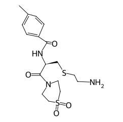 Cc1ccc(C(=O)N[C@@H](CSCCN)C(=O)N2CCS(=O)(=O)CC2)cc1